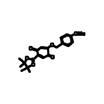 COc1ccc(COC2=CC(=O)C(B3OC(C)(C)C(C)(C)O3)=CC2=O)cc1